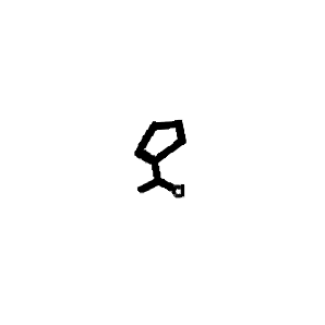 C[C](Cl)C1CCCC1